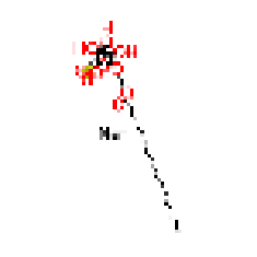 CCCCCCCCCCCCCCCCCCCCCC(=O)OCCCO[C@H]1O[C@H](CS(=O)(=O)[O-])[C@@H](O)[C@H](O)[C@H]1O.[Na+]